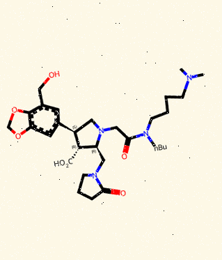 CCCCN(CCCCN(C)C)C(=O)CN1C[C@H](c2cc(CO)c3c(c2)OCO3)[C@@H](C(=O)O)[C@@H]1CN1CCCC1=O